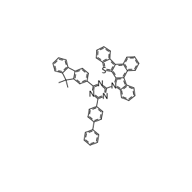 CC1(C)c2ccccc2-c2ccc(-c3nc(-c4ccc(-c5ccccc5)cc4)nc(-n4c5ccccc5c5c6ccccc6c6c7ccccc7sc6c54)n3)cc21